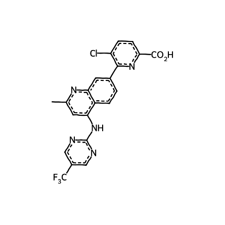 Cc1cc(Nc2ncc(C(F)(F)F)cn2)c2ccc(-c3nc(C(=O)O)ccc3Cl)cc2n1